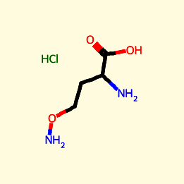 Cl.NOCCC(N)C(=O)O